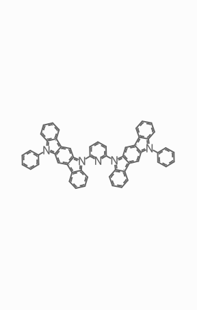 c1ccc(-n2c3ccccc3c3cc4c(cc32)c2ccccc2n4-c2cccc(-n3c4ccccc4c4cc5c(cc43)c3ccccc3n5-c3ccccc3)n2)cc1